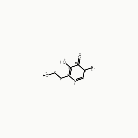 CCC1C=NC(CCO)=C(O)C1=O